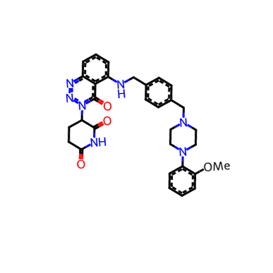 COc1ccccc1N1CCN(Cc2ccc(CNc3cccc4nnn(C5CCC(=O)NC5=O)c(=O)c34)cc2)CC1